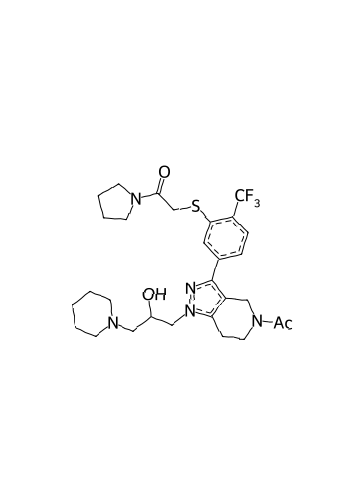 CC(=O)N1CCc2c(c(-c3ccc(C(F)(F)F)c(SCC(=O)N4CCCC4)c3)nn2CC(O)CN2CCCCC2)C1